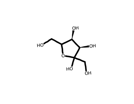 OCC1OC(O)(CO)[C@H](O)[C@@H]1O